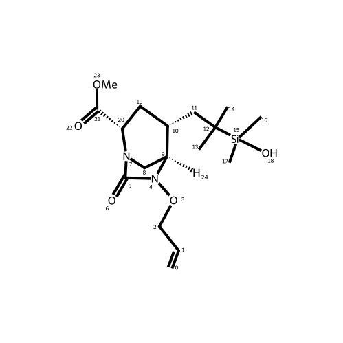 C=CCON1C(=O)N2C[C@H]1[C@@H](CC(C)(C)[Si](C)(C)O)C[C@H]2C(=O)OC